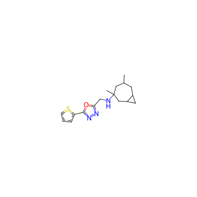 CC1CC2CC2CC(C)(NCc2nnc(-c3cccs3)o2)C1